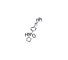 CCC/C=C/c1ccc(C(=O)NC2CCCC2)cc1